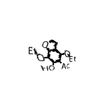 CCOc1c(C(C)=O)c(O)c(OCC)c2occc12